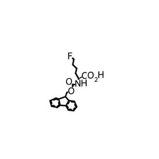 O=C(N[C@@H](CCCCF)C(=O)O)OCC1c2ccccc2-c2ccccc21